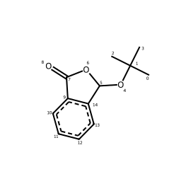 CC(C)(C)OC1OC(=O)c2ccccc21